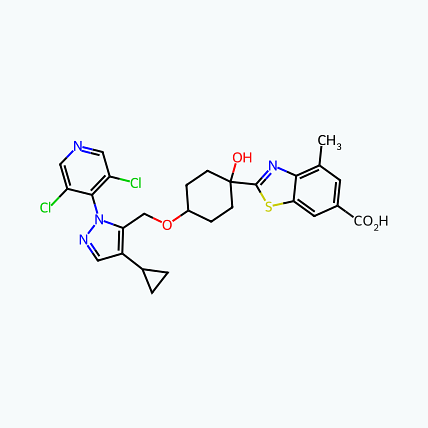 Cc1cc(C(=O)O)cc2sc(C3(O)CCC(OCc4c(C5CC5)cnn4-c4c(Cl)cncc4Cl)CC3)nc12